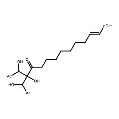 CCCCCCCCC=CCCCCCCCC(=O)C(O)(C(O)C(C)=O)C(O)C(C)=O